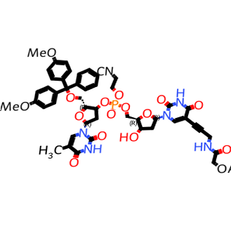 [C-]#[N+]CCOP(=O)(OC[C@H]1O[C@@H](n2cc(C#CCNC(=O)COC(C)=O)c(=O)[nH]c2=O)CC1O)OC1C[C@H](n2cc(C)c(=O)[nH]c2=O)O[C@@H]1COC(c1ccccc1)(c1ccc(OC)cc1)c1ccc(OC)cc1